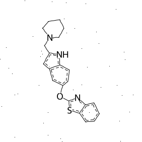 c1ccc2sc(Oc3ccc4[nH]c(CN5CCCCC5)cc4c3)nc2c1